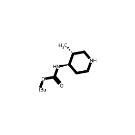 C[C@@H]1CNCC[C@H]1NC(=O)OC(C)(C)C